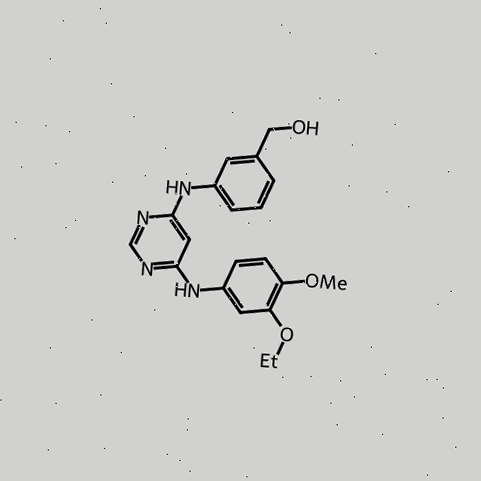 [CH2]COc1cc(Nc2cc(Nc3cccc(CO)c3)ncn2)ccc1OC